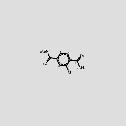 CNC(=O)c1ccc(C(N)=O)c(Cl)c1